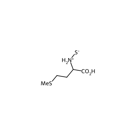 CSCCC([NH2+][S-])C(=O)O